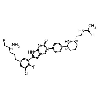 CC(=N)NCC[C@@H]1CCC[C@@H](c2ccc(-n3cc4cc(-c5cc(CCC[C@@H](N)CF)cc(Cl)c5F)[nH]c4nc3=O)cc2)N1